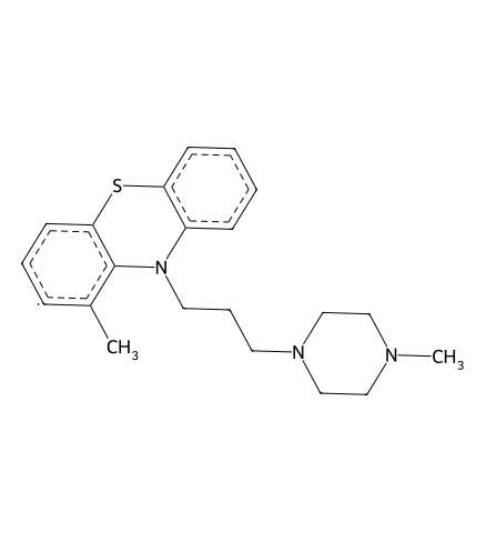 Cc1[c]ccc2c1N(CCCN1CCN(C)CC1)c1ccccc1S2